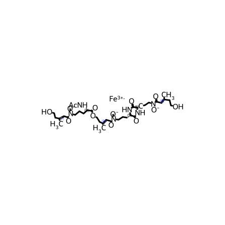 CC(=O)N[C@@H](CCCN([O-])C(=O)/C=C(\C)CCO)C(=O)OCC/C(C)=C/C(=O)N([O-])CCC[C@@H]1NC(=O)[C@H](CCCN([O-])C(=O)/C=C(\C)CCO)NC1=O.[Fe+3]